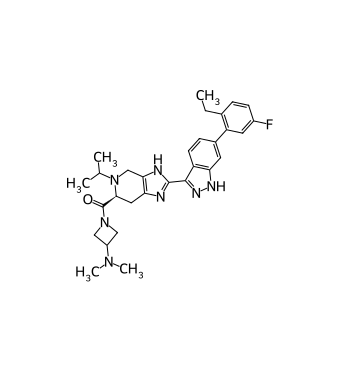 CCc1ccc(F)cc1-c1ccc2c(-c3nc4c([nH]3)CN(C(C)C)[C@H](C(=O)N3CC(N(C)C)C3)C4)n[nH]c2c1